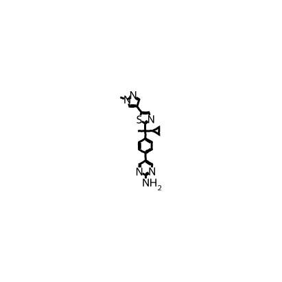 Cn1cc(-c2cnc(C(C)(c3ccc(-c4cnc(N)nc4)cc3)C3CC3)s2)cn1